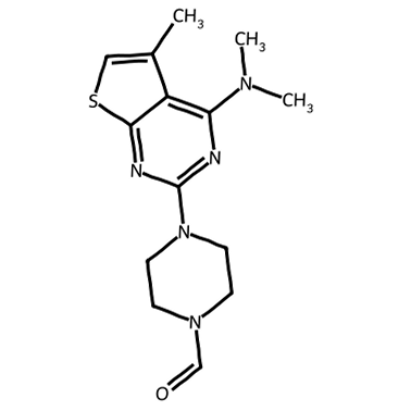 Cc1csc2nc(N3CCN(C=O)CC3)nc(N(C)C)c12